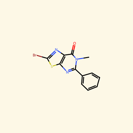 Cn1c(-c2ccccc2)nc2sc(Br)nc2c1=O